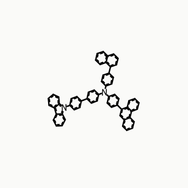 c1ccc2c(-c3ccc(N(c4ccc(-c5ccc(-n6c7ccccc7c7ccccc76)cc5)cc4)c4ccc(-c5cc6ccccc6c6ccccc56)cc4)cc3)cccc2c1